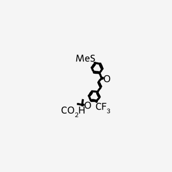 CSc1ccc(C(=O)C=Cc2ccc(OC(C)(C)C(=O)O)c(C(F)(F)F)c2)cc1